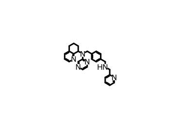 c1ccc(CNCc2ccc(CN(c3cnccn3)C3CCCc4cccnc43)cc2)nc1